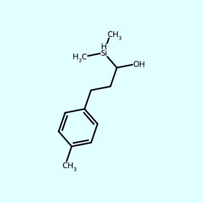 Cc1ccc(CCC(O)[SiH](C)C)cc1